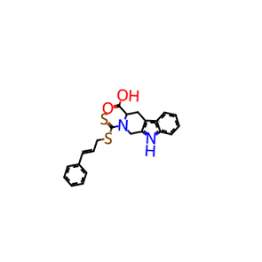 O=C(O)C1Cc2c([nH]c3ccccc23)CN1C(=S)SC/C=C/c1ccccc1